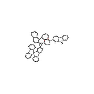 C1=CC2c3ccccc3SC2C=C1c1ccc(N(c2ccc3c(c2)C2(c4ccccc4-c4ccccc42)c2ccccc2-3)c2ccc3ccccc3c2-c2ccccc2)cc1